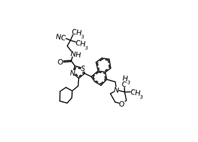 CC(C)(C#N)CNC(=O)c1nc(CC2CCCCC2)c(-c2ccc(CN3CCOCC3(C)C)c3ccccc23)s1